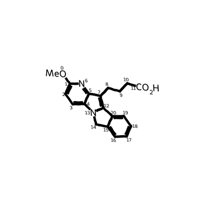 COc1ccc2c(n1)c(CCCC(=O)O)c1n2Cc2ccccc2-1